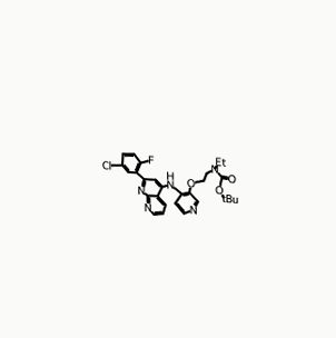 CCN(CCOc1cnccc1Nc1cc(-c2cc(Cl)ccc2F)nc2ncccc12)C(=O)OC(C)(C)C